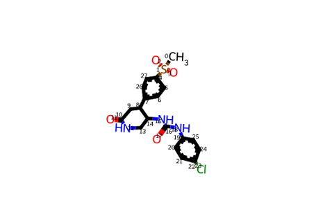 CS(=O)(=O)c1ccc(C2CC(=O)NCC2NC(=O)Nc2ccc(Cl)cc2)cc1